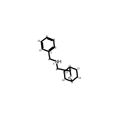 c1ccc(CNCC2CC3CCC2CC3)cc1